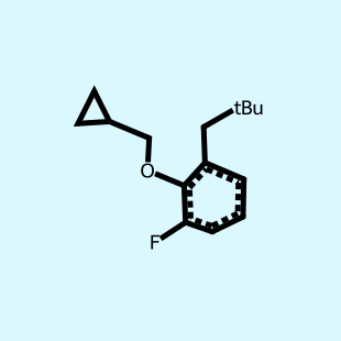 CC(C)(C)Cc1cccc(F)c1OCC1CC1